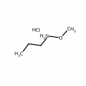 CCC[SiH2]OC.Cl